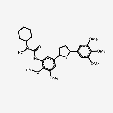 CCCOc1c(NC(=O)N(O)C2CCCCC2)cc(C2CCC(c3cc(OC)c(OC)c(OC)c3)S2)cc1OC